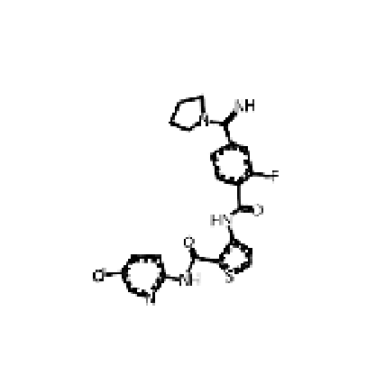 N=C(c1ccc(C(=O)Nc2ccsc2C(=O)Nc2ccc(Cl)cn2)c(F)c1)N1CCCC1